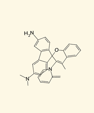 C=C1C=CC=CN1C1=C(C)c2ccccc2OC12c1ccc(N)cc1-c1cc(N(C)C)ccc12